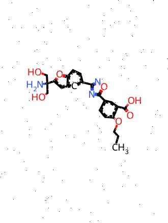 CCCOc1ccc(-c2nc(-c3ccc4oc(C(N)(CO)CO)cc4c3)no2)cc1C(=O)O